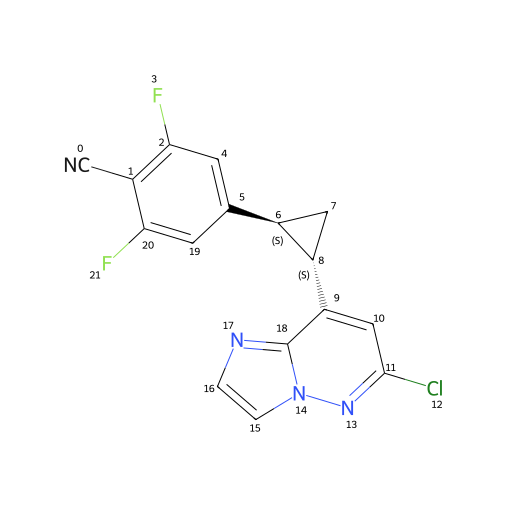 N#Cc1c(F)cc([C@H]2C[C@@H]2c2cc(Cl)nn3ccnc23)cc1F